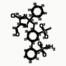 CS(=O)(=O)c1cc(-c2ccccc2S(N)(=O)=O)ccc1CC1(c2ccccc2)N=C(Cl)C(C=O)=N1